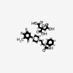 Cc1c(F)c(F)cc(N2CCN(CCn3c(=O)[nH]c4ccccc43)CC2)c1F.O=C(O)CC(O)(CC(=O)O)C(=O)O